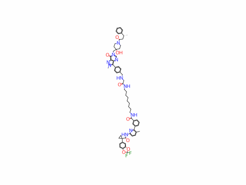 Cc1ccc(NC(=O)C2(c3ccc4c(c3)OC(F)(F)O4)CC2)nc1-c1cccc(C(=O)NCCCCCCCCCNC(=O)CNCc2ccc(-c3c4ncn(CC5(O)CCN(C(=O)C[C@@H](C)c6ccccc6)CC5)c(=O)c4nn3C)cc2)c1